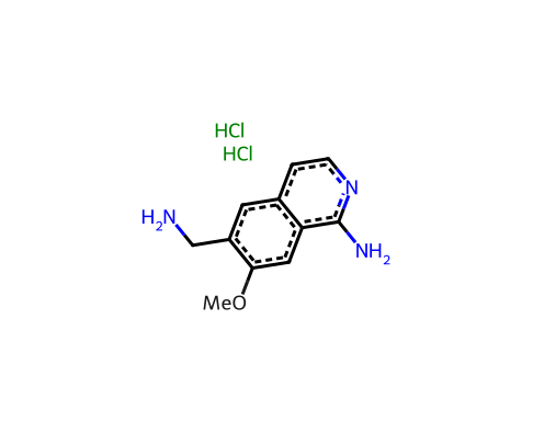 COc1cc2c(N)nccc2cc1CN.Cl.Cl